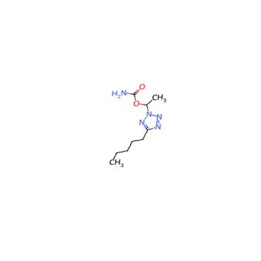 CCCCCc1nnn(C(C)OC(N)=O)n1